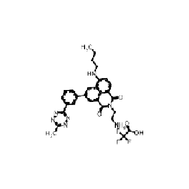 CCCCNc1ccc2c3c(cc(-c4cccc(-c5nnc(C)nn5)c4)cc13)C(=O)N(CCN)C2=O.O=C(O)C(F)(F)F